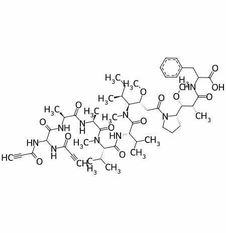 C#CC(=O)NC(NC(=O)C#C)C(=O)N[C@@H](C)C(=O)N[C@@H](C)C(=O)N(C)[C@H](C(=O)N[C@H](C(=O)N(C)[C@@H]([C@@H](C)CC)[C@@H](CC(=O)N1CCC[C@H]1[C@H](OC)[C@@H](C)C(=O)NC(Cc1ccccc1)C(=O)O)OC)C(C)C)C(C)C